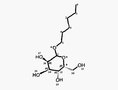 CCCCCCOC1O[C@H](CO)[C@H](O)[C@@H](O)[C@H]1O